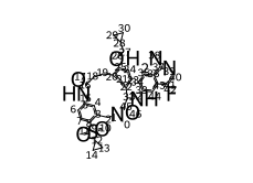 CN1Cc2cc(ccc2S(=O)(=O)C2CC2)NC(=O)CCc2cc(ccc2OCC2CC2)[C@@H](Nc2ccc3c(N)ncc(F)c3c2)C1=O